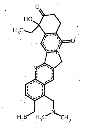 BCc1ccc2nc3c(cc2c1CN(C)C)Cn1c-3cc2c(c1=O)CCC(=O)C2(O)CC